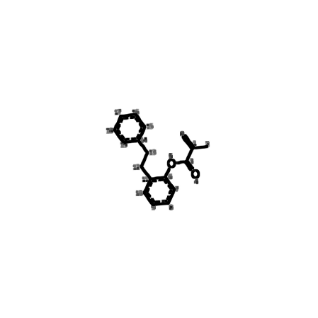 C=C(C)C(=O)Oc1ccccc1CCc1ccccc1